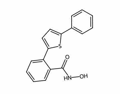 O=C(NO)c1ccccc1-c1ccc(-c2ccccc2)s1